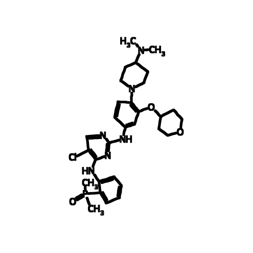 CN(C)C1CCN(c2ccc(Nc3ncc(Cl)c(Nc4ccccc4P(C)(C)=O)n3)cc2OC2CCOCC2)CC1